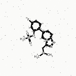 CN(C)Cc1nnc2ccc(-c3ccc(F)cc3OS(C)(=O)=O)cn12